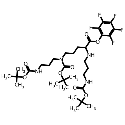 CC(C)(C)OC(=O)NCCCNC(CCCN(CCCNC(=O)OC(C)(C)C)C(=O)OC(C)(C)C)C(=O)Oc1c(F)c(F)c(F)c(F)c1F